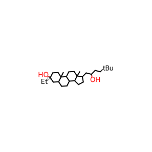 CC[C@]1(O)CCC2(C)C(CCC3C4CCC(CC(O)CCC(C)(C)C)C4(C)CCC32)C1